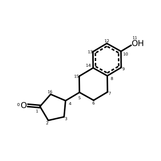 O=C1CCC(C2CCc3cc(O)ccc3C2)C1